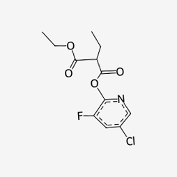 CCOC(=O)C(CC)C(=O)Oc1ncc(Cl)cc1F